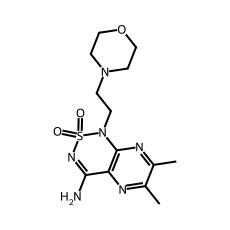 Cc1nc2c(nc1C)N(CCN1CCOCC1)S(=O)(=O)N=C2N